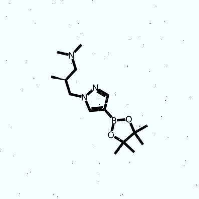 C[C@@H](CN(C)C)Cn1cc(B2OC(C)(C)C(C)(C)O2)cn1